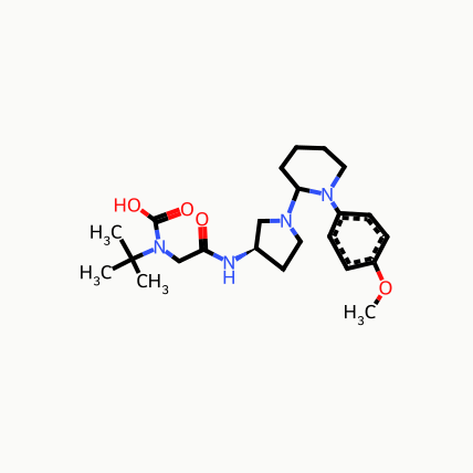 COc1ccc(N2CCCCC2N2CC[C@@H](NC(=O)CN(C(=O)O)C(C)(C)C)C2)cc1